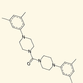 Cc1cc(C)cc(N2CCN(C(=O)N3CCN(c4cc(C)cc(C)c4)CC3)CC2)c1